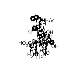 CC(=O)N[C@H](Cc1ccc2ccccc2c1)C(=O)N[C@H](Cc1ccc(Cl)cc1)C(=O)N[C@H](Cc1cccnc1)C(=O)N[C@@H](CO)C(=O)N[C@@H](Cc1ccc(O)cc1)C(=O)N[C@H](CCCNC(N)=O)C(=O)N[C@@H](CC(C)C)C(=O)N[C@@H](CCCNC(=N)N)C(=O)N1CCC[C@H]1C(=O)O